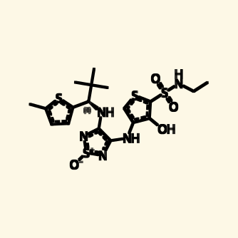 CCNS(=O)(=O)c1scc(Nc2n[s+]([O-])nc2N[C@@H](c2ccc(C)s2)C(C)(C)C)c1O